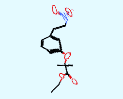 CCOC(=O)C(C)(C)Oc1cccc(/C=C/[N+](=O)[O-])c1